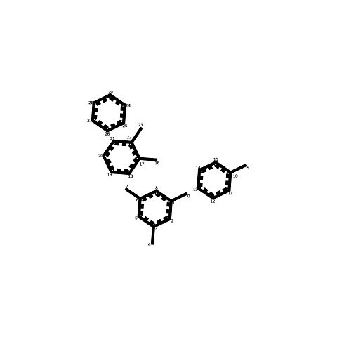 Cc1cc(C)cc(C)c1.Cc1ccccc1.Cc1ccccc1C.c1ccccc1